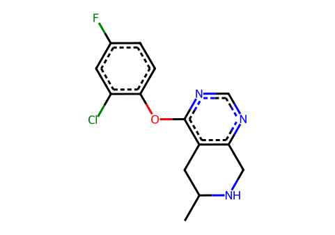 CC1Cc2c(ncnc2Oc2ccc(F)cc2Cl)CN1